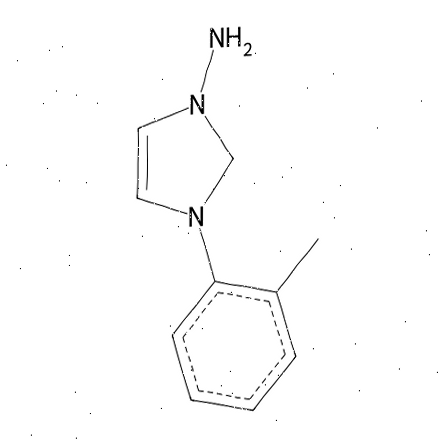 Cc1ccccc1N1C=CN(N)C1